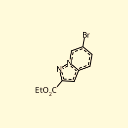 CCOC(=O)c1cc2ccc(Br)cn2n1